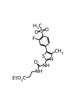 CCOC(=O)CCNC(=O)Nc1nc(C)c(-c2ccc(S(C)(=O)=O)c(F)c2)s1